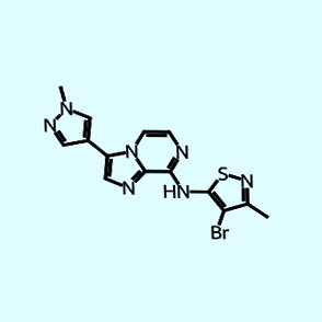 Cc1nsc(Nc2nccn3c(-c4cnn(C)c4)cnc23)c1Br